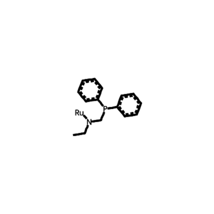 CC[N]([Ru])CP(c1ccccc1)c1ccccc1